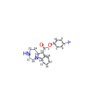 O=C(COc1ccc(I)cc1)c1c2n(c3ccccc13)CCNCC2